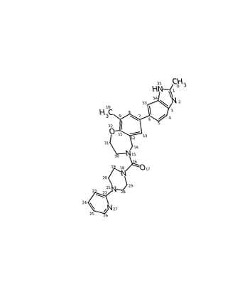 Cc1nc2ccc(-c3cc(C)c4c(c3)CN(C(=O)N3CCN(c5ccccn5)CC3)CCO4)cc2[nH]1